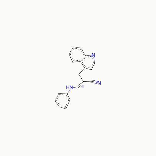 N#C/C(=C/Nc1ccccc1)Cc1ccnc2ccccc12